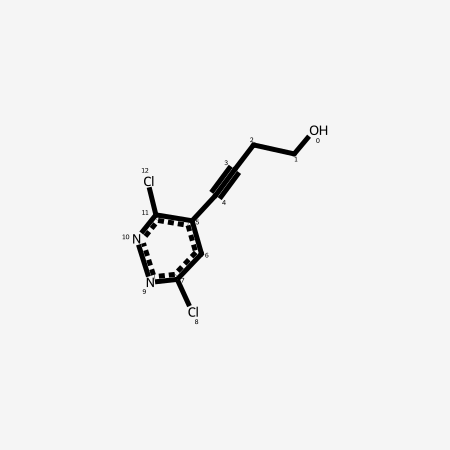 OCCC#Cc1cc(Cl)nnc1Cl